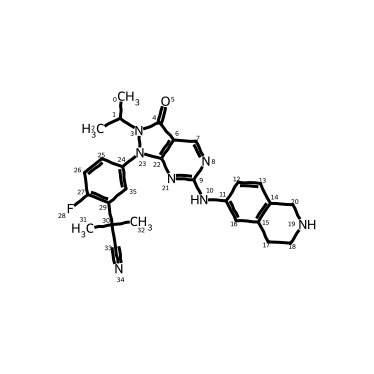 CC(C)n1c(=O)c2cnc(Nc3ccc4c(c3)CCNC4)nc2n1-c1ccc(F)c(C(C)(C)C#N)c1